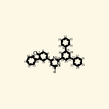 Ic1cc(-c2ccc3oc4ccccc4c3c2)nc(-c2cc(-c3ccccc3)cc(-c3ccccc3)c2)n1